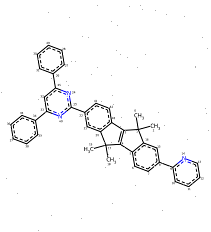 CC1(C)C2=C(c3ccc(-c4ccccn4)cc31)C(C)(C)c1cc(-c3nc(-c4ccccc4)cc(-c4ccccc4)n3)ccc12